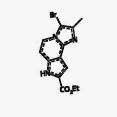 CCOC(=O)c1cc2c(ccn3c(Br)c(C)nc23)[nH]1